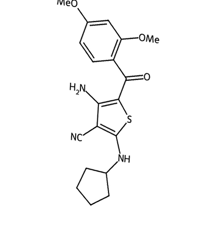 COc1ccc(C(=O)c2sc(NC3CCCC3)c(C#N)c2N)c(OC)c1